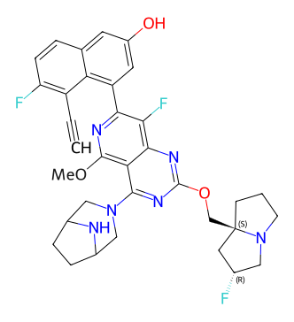 C#Cc1c(F)ccc2cc(O)cc(-c3nc(OC)c4c(N5CC6CCC(C5)N6)nc(OC[C@@]56CCCN5C[C@H](F)C6)nc4c3F)c12